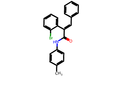 Cc1ccc(NC(=O)/C(=C/c2ccccc2)c2ccccc2Br)cc1